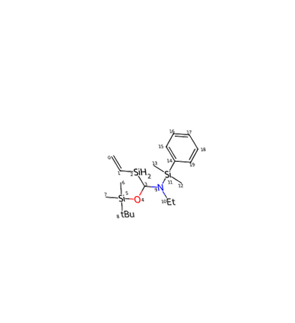 C=C[SiH2]C(O[Si](C)(C)C(C)(C)C)N(CC)[Si](C)(C)c1ccccc1